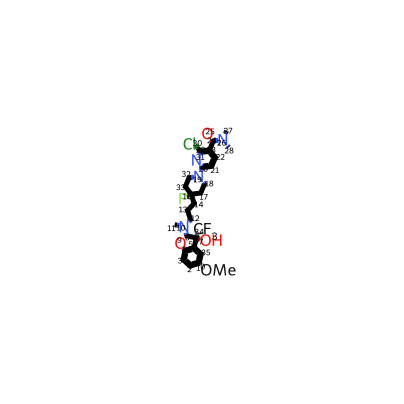 COc1cccc(C(O)(C(=O)N(C)CCCC2(F)CCN(c3ccc(C(=O)N(C)C)c(Cl)n3)CC2)C(F)(F)F)c1